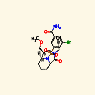 C#CCN1C[C@H](COC)[C@@H]2CCCC(C1=O)N2S(=O)(=O)c1cc(Br)cc(C(N)=O)c1